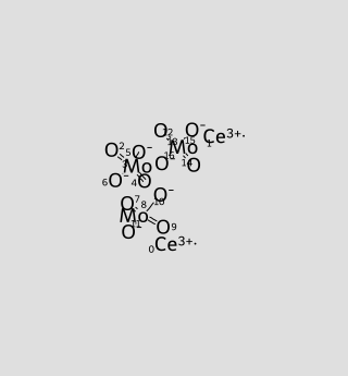 [Ce+3].[Ce+3].[O]=[Mo](=[O])([O-])[O-].[O]=[Mo](=[O])([O-])[O-].[O]=[Mo](=[O])([O-])[O-]